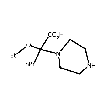 CCCC(OCC)(C(=O)O)N1CCNCC1